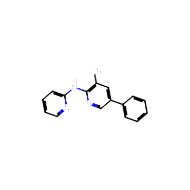 N#Cc1cc(-c2ccccc2)cnc1Nc1ccccn1